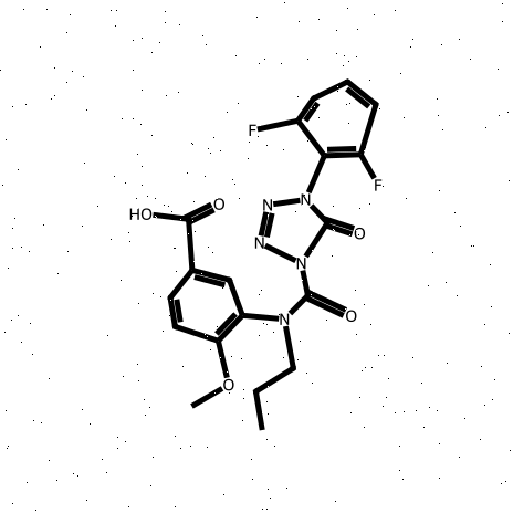 CCCN(C(=O)n1nnn(-c2c(F)cccc2F)c1=O)c1cc(C(=O)O)ccc1OC